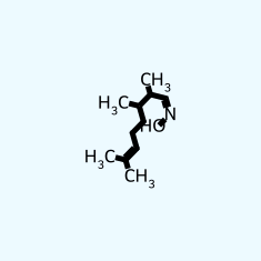 CC(C)=CCCC(C)C(C)/C=N\O